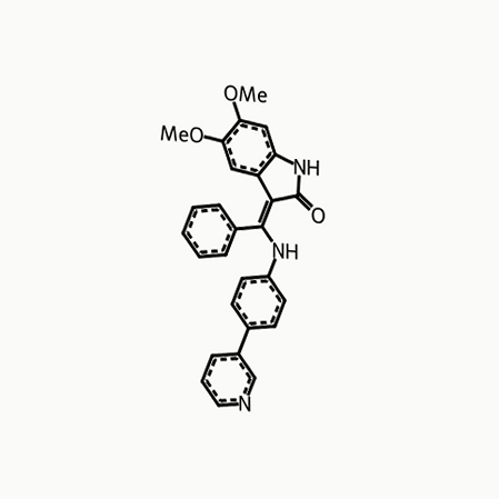 COc1cc2c(cc1OC)/C(=C(/Nc1ccc(-c3cccnc3)cc1)c1ccccc1)C(=O)N2